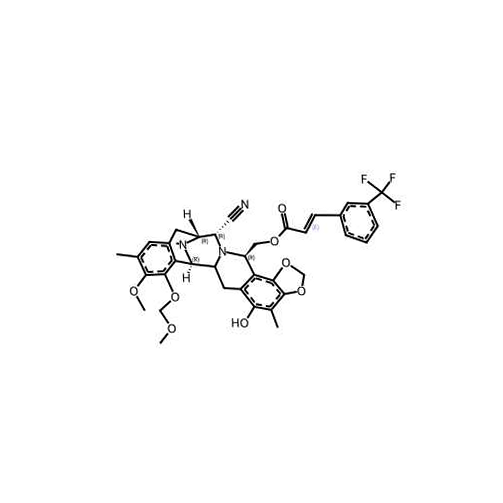 COCOc1c(OC)c(C)cc2c1[C@@H]1C3Cc4c(O)c(C)c5c(c4[C@H](COC(=O)/C=C/c4cccc(C(F)(F)F)c4)N3[C@@H](C#N)[C@@H](C2)N1C)OCO5